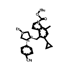 CCN1C[C@@H](Cc2c(C3CC3)cc(C)c3c2ccn3C(=O)OC(C)(C)C)[C@H](c2ccc(C#N)cc2)C1